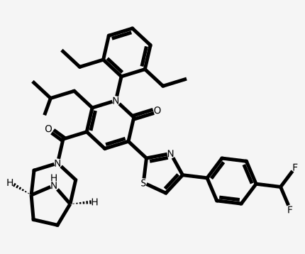 CCc1cccc(CC)c1-n1c(CC(C)C)c(C(=O)N2C[C@H]3CC[C@@H](C2)N3)cc(-c2nc(-c3ccc(C(F)F)cc3)cs2)c1=O